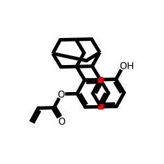 C=CC(=O)Oc1ccccc1C12CC3CC(CC(C3)C1c1ccccc1O)C2